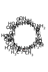 CCCC[C@H]1C(=O)N(C)[C@@H](CCCC)C(=O)N[C@@H](CC(C)C)C(=O)NCCC[C@@H](N)C(=O)N[C@@H](Cc2ccc(OC)cc2)C(=O)N2CCCC[C@H]2C(=O)N[C@@H](CC(N)=O)C(=O)N2CCC[C@H]2C(=O)N[C@@H](CN)C(=O)N[C@@H](CCC(=O)O)C(=O)N2C[C@H](O)C[C@H]2C(=O)N[C@@H](Cc2c[nH]c3ccccc23)C(=O)N[C@@H](CCN)C(=O)N[C@@H](Cc2cn(CC(=O)O)c3ccccc23)C(=O)N1C